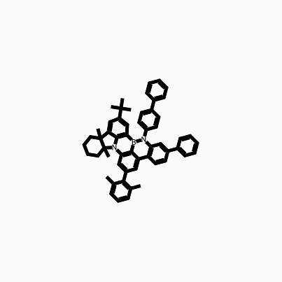 Cc1cccc(C)c1-c1cc2c3c(c1)N1c4c(cc(C(C)(C)C)cc4C4(C)CCCCC14C)B3N(c1ccc(-c3ccccc3)cc1)c1cc(-c3ccccc3)ccc1-2